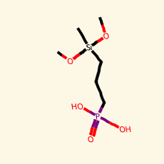 CO[Si](C)(CCCP(=O)(O)O)OC